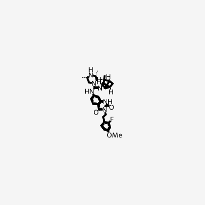 COc1ccc(CCn2c(=O)[nH]c3cc(NC(=N[C@H]4C[C@H]5C[C@@H]([C@@H]4C)C5(C)C)N4C[C@@H](C)N[C@@H](C)C4)ccc3c2=O)c(F)c1